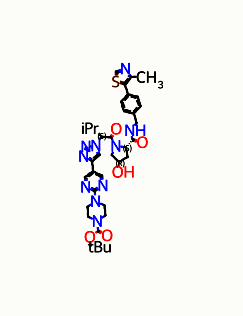 Cc1ncsc1-c1ccc(CNC(=O)[C@@H]2C[C@@H](O)CN2C(=O)[C@H](C(C)C)n2cc(-c3cnc(N4CCN(C(=O)OC(C)(C)C)CC4)nc3)nn2)cc1